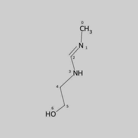 C/N=C/NCCO